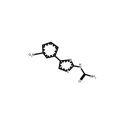 NC(=O)Nc1nc(-c2cccc([N+](=O)[O-])c2)cs1